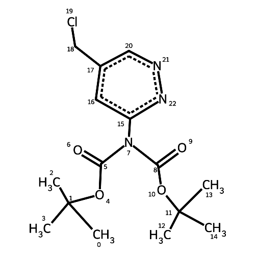 CC(C)(C)OC(=O)N(C(=O)OC(C)(C)C)c1cc(CCl)cnn1